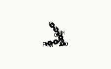 CC1CC(=O)N(Cc2cc(F)c(C(=O)NC3CCN(C4CCOCC4)CC3)cc2Oc2ccc(-c3ccc(C(C)(C)F)nn3)cc2)C1